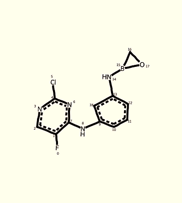 Fc1cnc(Cl)nc1Nc1cccc(NB2CO2)c1